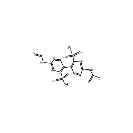 CC(=O)Nc1ccc(-c2ccc(NC=O)cc2S(=O)(=O)O)c(S(=O)(=O)O)c1